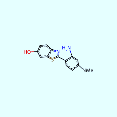 CNc1ccc(-c2nc3ccc(O)cc3s2)c(N)c1